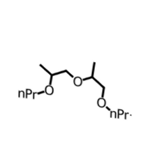 C[CH][CH]OCC(C)OCC(C)OCCC